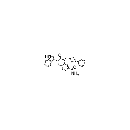 NC(=O)c1ccc2c(c1)N(CC1CN(c3ccccc3)C1)C(=O)C(c1c[nH]c3ccccc13)S2